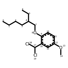 CCCCC(CC)COc1ccc(OC)cc1C(Cl)Cl